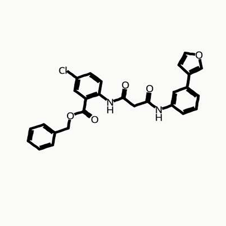 O=C(CC(=O)Nc1ccc(Cl)cc1C(=O)OCc1ccccc1)Nc1cccc(-c2ccoc2)c1